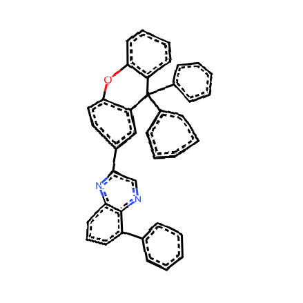 c1ccc(-c2cccc3nc(-c4ccc5c(c4)C(c4ccccc4)(c4ccccc4)c4ccccc4O5)cnc23)cc1